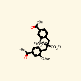 CCOC(=O)C(Cc1ccc(C(=O)C(C)(C)C)cc1OC)(Cc1ccc(C(=O)C(C)(C)C)cc1OC)C(=O)OCC